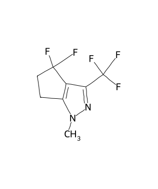 Cn1nc(C(F)(F)F)c2c1CCC2(F)F